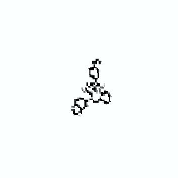 CCCc1ccc(S(=O)(=O)NC(=O)C(Cc2ccccc2)c2ccc3c(c2)OCO3)cc1